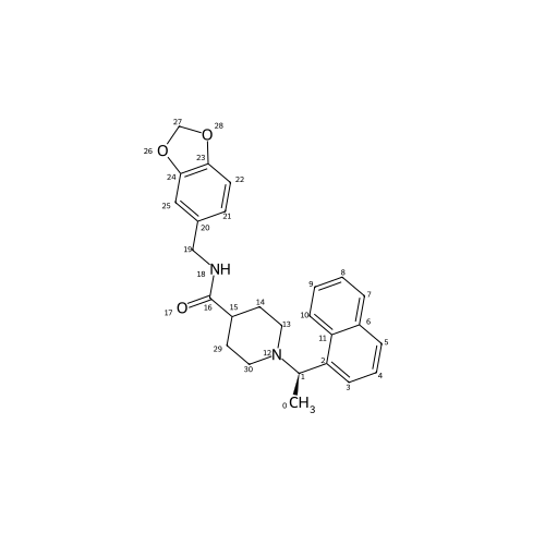 C[C@H](c1cccc2ccccc12)N1CCC(C(=O)NCc2ccc3c(c2)OCO3)CC1